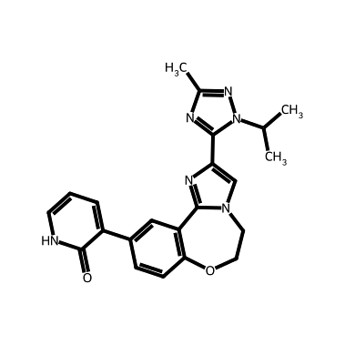 Cc1nc(-c2cn3c(n2)-c2cc(-c4ccc[nH]c4=O)ccc2OCC3)n(C(C)C)n1